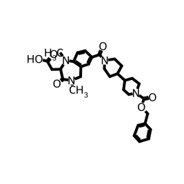 CN1Cc2cc(C(=O)N3CCC(C4CCN(C(=O)OCc5ccccc5)CC4)CC3)ccc2N(C)C(CC(=O)O)C1=O